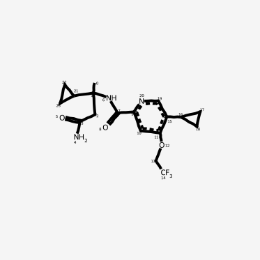 CC(CC(N)=O)(NC(=O)c1cc(OCC(F)(F)F)c(C2CC2)cn1)C1CC1